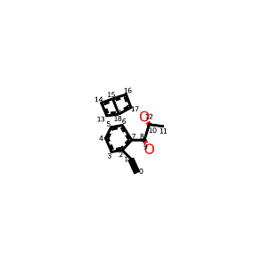 C#Cc1ccccc1C(=O)C(C)=O.c1cc2ccc1-2